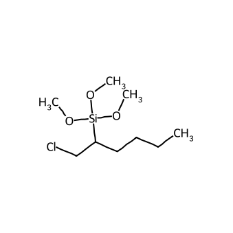 CCCCC(CCl)[Si](OC)(OC)OC